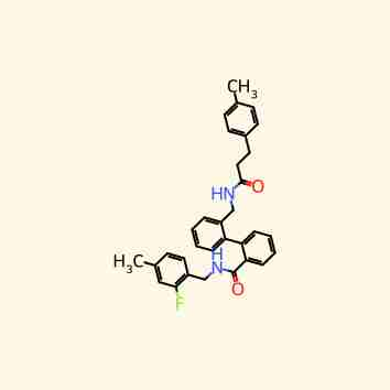 Cc1ccc(CCC(=O)NCc2ccccc2-c2ccccc2C(=O)NCc2ccc(C)cc2F)cc1